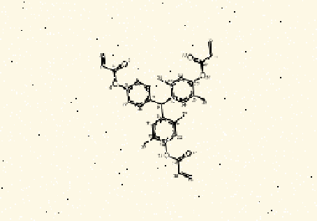 C=CC(=O)Oc1ccc(C(c2cc(C)c(OC(=O)C=C)cc2C)c2cc(C)c(OC(=O)C=C)cc2C)cc1